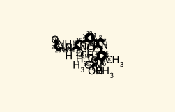 COc1cc(-c2nccc(-c3cccc(-c4ccc(CNC[C@H]5CCC(=O)N5)c(OC)n4)c3Cl)c2Cl)cc(C)c1CN(C)CC(C)O